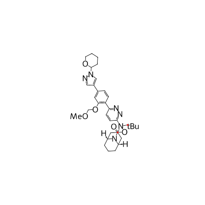 COCOc1cc(-c2cnn(C3CCCCO3)c2)ccc1-c1ccc(N(C)C2C[C@H]3CCC[C@@H](C2)N3C(=O)OC(C)(C)C)nn1